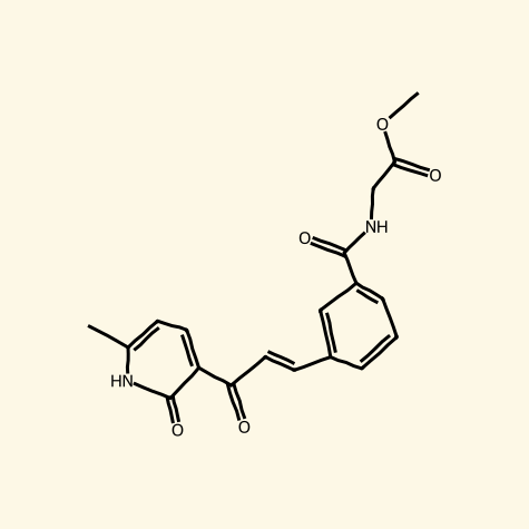 COC(=O)CNC(=O)c1cccc(C=CC(=O)c2ccc(C)[nH]c2=O)c1